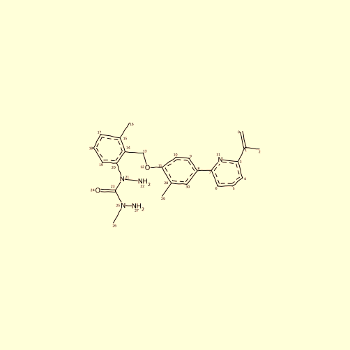 C=C(C)c1cccc(-c2ccc(OCc3c(C)cccc3N(N)C(=O)N(C)N)c(C)c2)n1